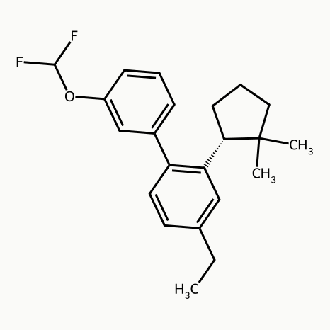 CCc1ccc(-c2cccc(OC(F)F)c2)c([C@@H]2CCCC2(C)C)c1